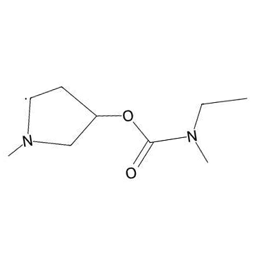 CCN(C)C(=O)OC1C[CH]N(C)C1